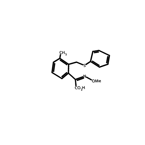 CON=C(C(=O)O)c1cccc(C)c1CSc1ccccc1